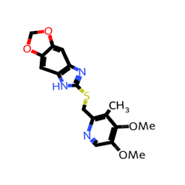 COc1cnc(CSc2nc3cc4c(cc3[nH]2)OCO4)c(C)c1OC